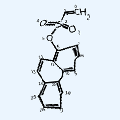 C=CS(=O)(=O)Oc1cccc2c1ccc1ccccc12